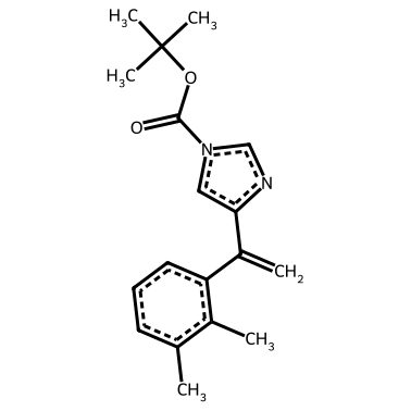 C=C(c1cn(C(=O)OC(C)(C)C)cn1)c1cccc(C)c1C